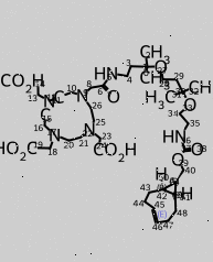 CC(C)(CCNC(=O)CN1CCN(CC(=O)O)CCN(CC(=O)O)CCN(CC(=O)O)CC1)OCCC(C)(C)OCCNC(=O)OC[C@@H]1[C@@H]2CC/C=C/CC[C@@H]21